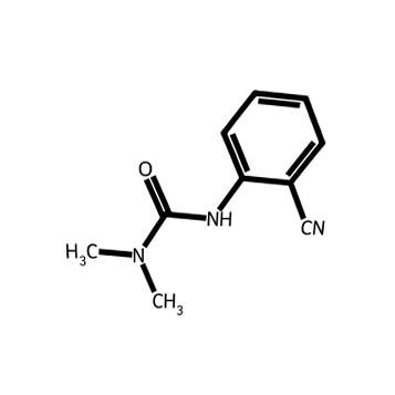 CN(C)C(=O)Nc1ccccc1C#N